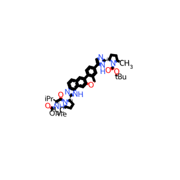 COC(=O)N[C@H](C(=O)N1C(C)CC[C@H]1c1nc2ccc3cc4c(cc3c2[nH]1)OCc1cc(-c2cnc([C@@H]3CCC(C)N3C(=O)OC(C)(C)C)[nH]2)ccc1-4)C(C)C